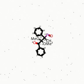 COC(OC)(C(=O)c1ccccc1)C(C)(P=O)c1ccccc1